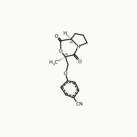 C[C@]1(COc2ccc(C#N)cc2)OC(=O)[C@H]2CCCN2C1=O